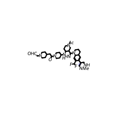 CN/C=C(\C=N)C1=CC2CCCN(C(=N)C3CN(C(C)=O)CCC3NC3CCN(C(=O)CC4CCN(CC=O)CC4)CC3)C2C=C1C(F)F